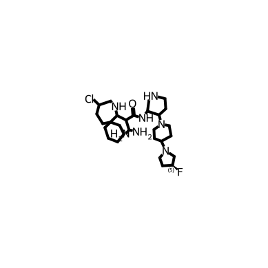 NC(N)C(C(=O)NC1CNCCC1N1CCC(N2CC[C@H](F)C2)CC1)C1NCC(Cl)CCC12CCCCC2